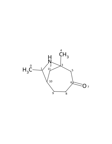 CC1NC2(C)CC(=O)CCC1C2